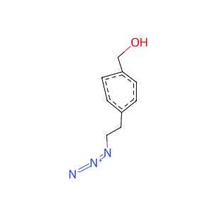 [N-]=[N+]=NCCc1ccc(CO)cc1